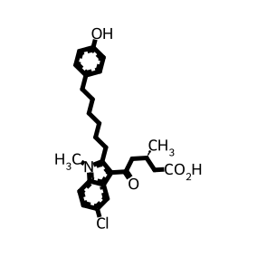 C[C@H](CC(=O)O)CC(=O)c1c(CCCCCCc2ccc(O)cc2)n(C)c2ccc(Cl)cc12